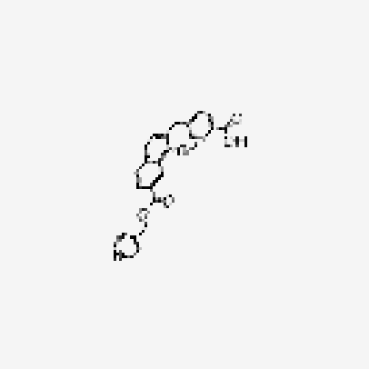 O=C(O)c1ccc(Cc2ccc3ccc(C(=O)OCc4ccncc4)cc3c2O)cc1